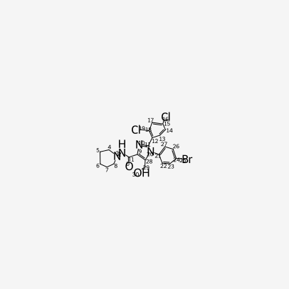 O=C(NN1CCCCC1)c1nc(-c2ccc(Cl)cc2Cl)n(-c2ccc(Br)cc2)c1CO